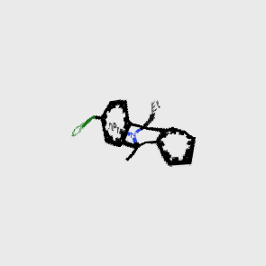 CCCN1C2(C)c3ccccc3C1(CC)c1ccc(Cl)cc12